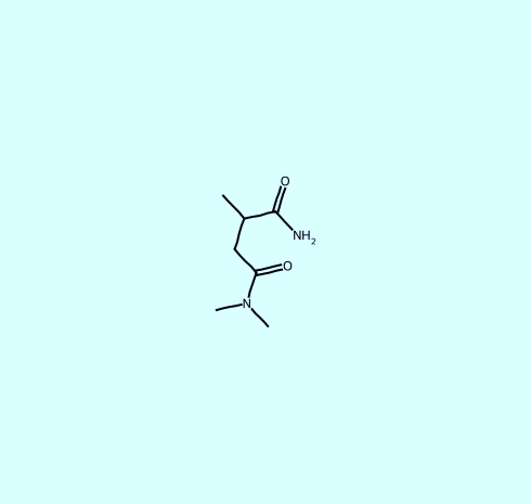 CC(CC(=O)N(C)C)C(N)=O